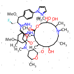 CC[C@H]1OC(=O)[C@H](C)[C@@H](O[C@H]2C[C@@](C)(OC)C[C@H](C)O2)[C@H](C)[C@@H](O[C@H]2C[C@@H](N(C)CC/C(N)=C/N(N)[C@H](CF)[C@H](OC)c3ccc(-n4cccn4)cc3)C[C@@H](C)O2)[C@H](O)C[C@@H](C)CN(C)[C@H](C)[C@@H](O)[C@]1(C)O